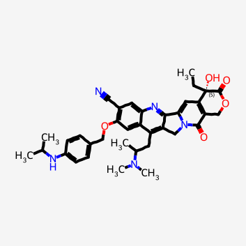 CC[C@@]1(O)C(=O)OCc2c1cc1n(c2=O)Cc2c-1nc1cc(C#N)c(OCc3ccc(NC(C)C)cc3)cc1c2CC(C)N(C)C